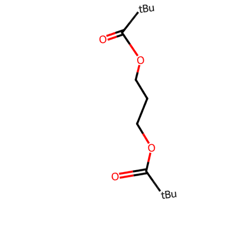 CC(C)(C)C(=O)OCCCOC(=O)C(C)(C)C